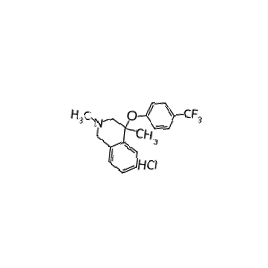 CN1Cc2ccccc2C(C)(Oc2ccc(C(F)(F)F)cc2)C1.Cl